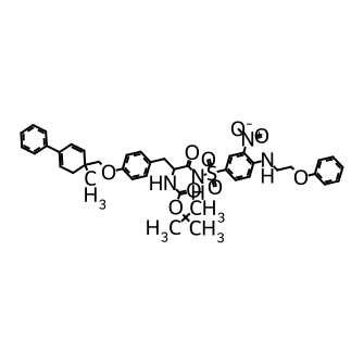 CC1(COc2ccc(CC(NC(=O)OC(C)(C)C)C(=O)NS(=O)(=O)c3ccc(NCCOc4ccccc4)c([N+](=O)[O-])c3)cc2)C=CC(c2ccccc2)=CC1